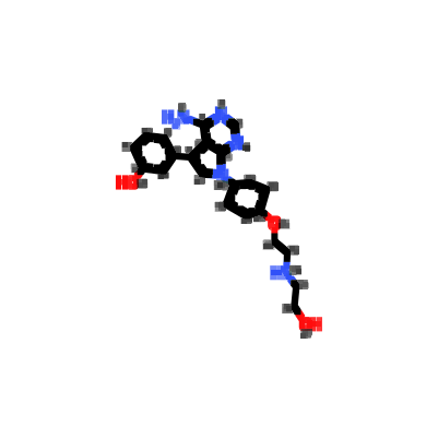 Nc1ncnc2c1c(-c1cccc(O)c1)cn2-c1ccc(OCCNCCO)cc1